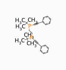 CC(C)(C)P(C#Cc1ccccc1)CCP(C#Cc1ccccc1)C(C)(C)C